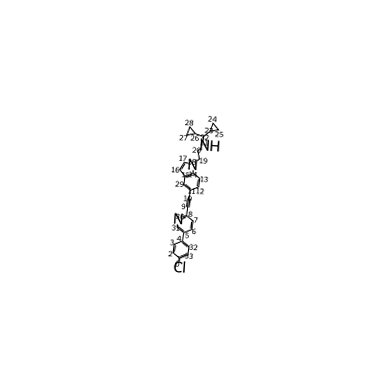 Clc1ccc(-c2ccc(C#Cc3ccc4c(ccn4CCNC(C4CC4)C4CC4)c3)nc2)cc1